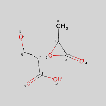 CC1OC1=O.[O]CCC(=O)O